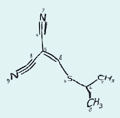 CC(C)SC=C(C#N)C#N